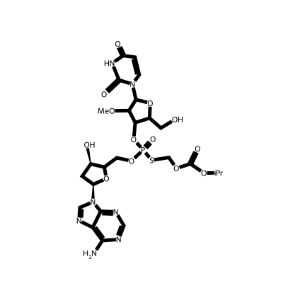 COC1C(OP(=O)(OCC2O[C@@H](n3cnc4c(N)ncnc43)C[C@H]2O)SCOC(=O)OC(C)C)C(CO)OC1n1ccc(=O)[nH]c1=O